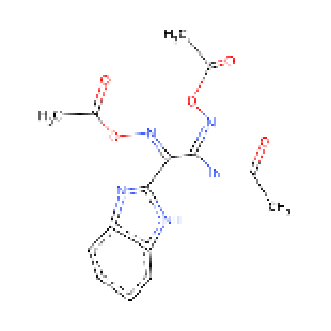 CC(=O)NC(=N/OC(C)=O)/C(=N/OC(C)=O)c1nc2ccccc2[nH]1